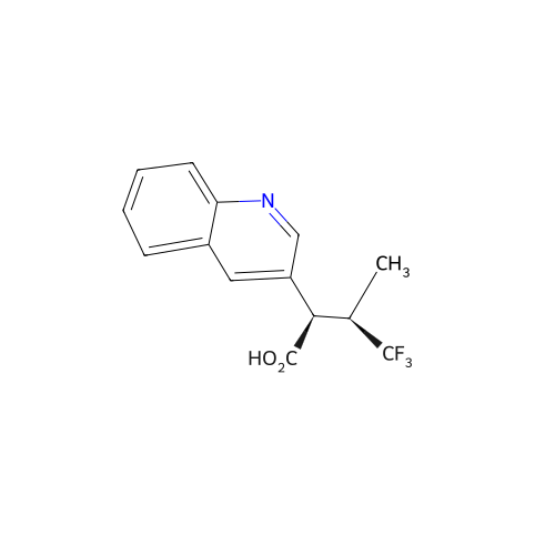 C[C@H]([C@@H](C(=O)O)c1cnc2ccccc2c1)C(F)(F)F